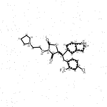 O=C1S/C(=C(/Cc2ccc(Cl)cc2C(F)(F)F)c2ccc3[nH]ncc3c2)C(=O)N1OCCN1CCCC1